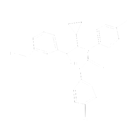 O=C(Nc1ccc(Cl)cc1)N(c1ccc(Cl)cc1)C(C1CC1)C(O)c1cccc(OC(F)(F)F)c1